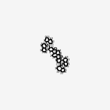 c1ccc2c(N(c3ccc4c(c3)Oc3ccc5c6c(ccc-4c36)-c3ccc(N(c4cccc6ccccc46)c4cccc6ccccc46)cc3O5)c3cccc4ccccc34)cccc2c1